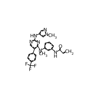 C=CC(=O)Nc1cccc(N(C)c2nc(Nc3cnn(C)c3)ncc2-c2ccc(C(F)(F)F)cc2)c1